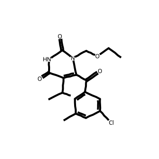 CCOCn1c(C(=O)c2cc(C)cc(Cl)c2)c(C(C)C)c(=O)[nH]c1=O